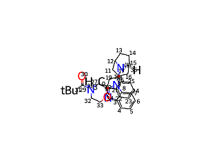 Cc1nc2ccccc2n1C1CC2CC[C@@H](C1)N2CCC1(c2ccccc2)CN(C(=O)C(C)(C)C)CCO1